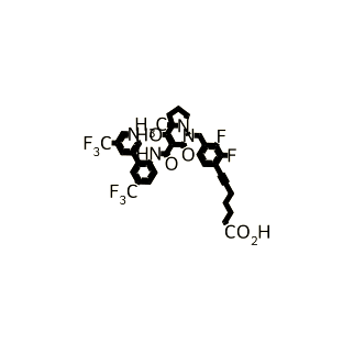 CC12CCCN1N(Cc1ccc(C#CCCCCC(=O)O)c(F)c1F)C(=O)C(C(=O)Nc1ccc(C(F)(F)F)cc1-c1cncc(C(F)(F)F)c1)=C2O